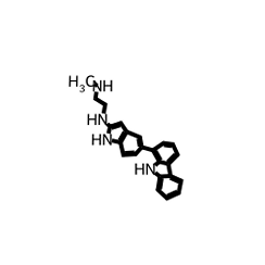 CNCCNc1cc2cc(-c3cccc4c3[nH]c3ccccc34)ccc2[nH]1